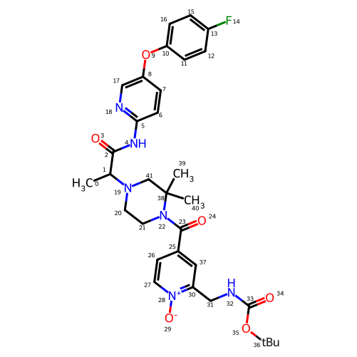 CC(C(=O)Nc1ccc(Oc2ccc(F)cc2)cn1)N1CCN(C(=O)c2cc[n+]([O-])c(CNC(=O)OC(C)(C)C)c2)C(C)(C)C1